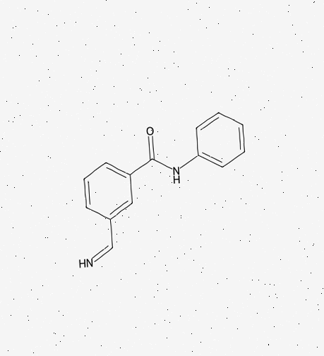 N=Cc1cccc(C(=O)Nc2ccccc2)c1